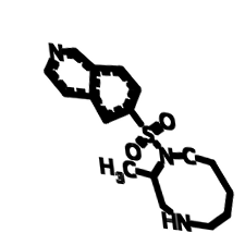 CC1CNCCCCCN1S(=O)(=O)c1ccc2cnccc2c1